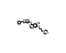 COc1cc2c(Oc3cc(CCC4CCCC4)[nH]n3)ncnc2cc1OCCCN1CCOCC1